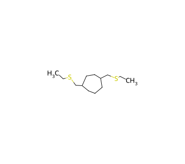 CCSCC1CCCC(CSCC)CC1